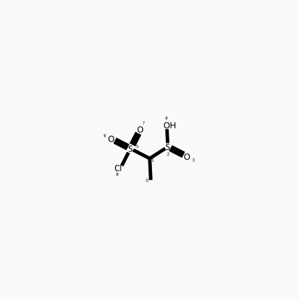 CC(S(=O)O)S(=O)(=O)Cl